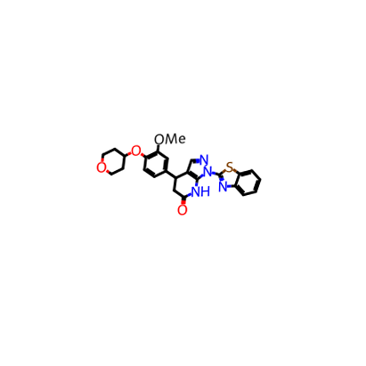 COc1cc(C2CC(=O)Nc3c2cnn3-c2nc3ccccc3s2)ccc1OC1CCOCC1